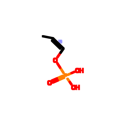 C/C=C\OP(=O)(O)O